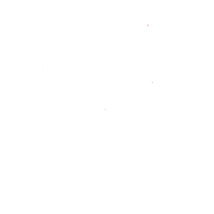 COc1cc(CNC(=O)c2cc(-c3ncccc3CO)ccc2OCC2CC2)cc(OC)c1OC